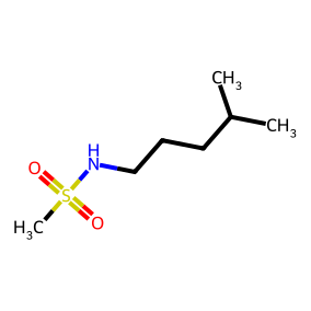 CC(C)CCCNS(C)(=O)=O